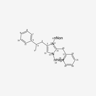 CCCCCCCCC[n+]1c(CC(C)c2ccccc2)cn(CCCCCCC)c1Cc1ccccc1